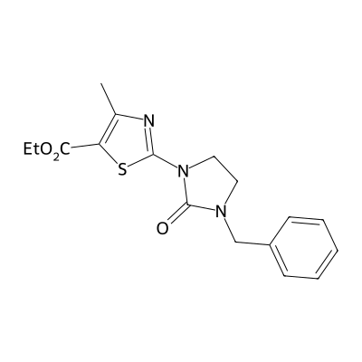 CCOC(=O)c1sc(N2CCN(Cc3ccccc3)C2=O)nc1C